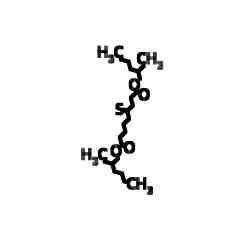 CCCCC(CC)COC(=O)CCCCC(=S)CCC(=O)OCC(CC)CCCC